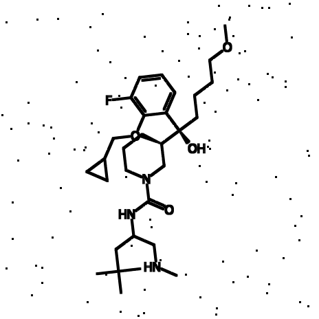 CNCC(CC(C)(C)C)NC(=O)N1CCC[C@@H]([C@@](O)(CCCCOC)c2cccc(F)c2OCC2CC2)C1